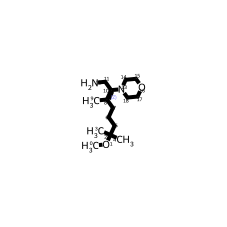 COC(C)(C)CCC/C(C)=C(/CN)N1CCOCC1